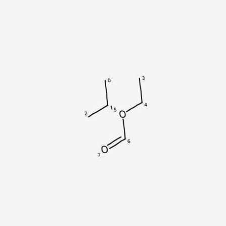 CCC.CCOC=O